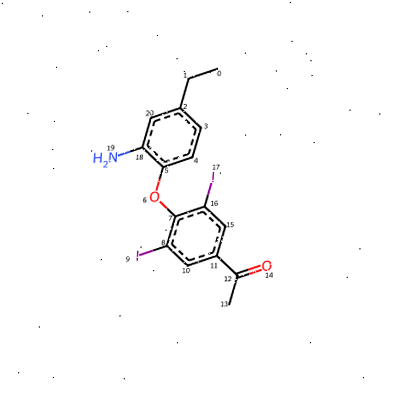 CCc1ccc(Oc2c(I)cc(C(C)=O)cc2I)c(N)c1